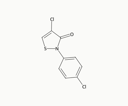 O=c1c(Cl)csn1-c1ccc(Cl)cc1